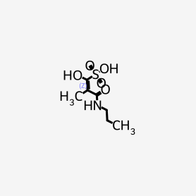 CCCNC(=O)/C(C)=C(/O)S(=O)(=O)O